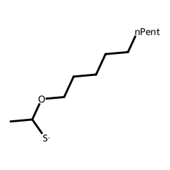 CCCCCCCCCCOC(C)[S]